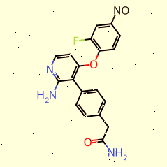 NC(=O)Cc1ccc(-c2c(Oc3ccc(N=O)cc3F)ccnc2N)cc1